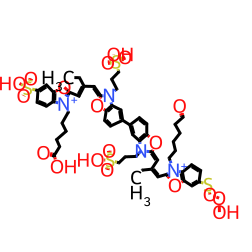 CCC(=Cc1oc2cc(SOOO)ccc2[n+]1CCCCCC=O)C=C1Oc2ccc(-c3ccc4c(c3)N(CCCS(=O)(=O)O)C(=CC(=Cc3oc5cc(S(=O)(=O)O)ccc5[n+]3CCCCCC(=O)O)CC)O4)cc2N1CCCS(=O)(=O)O